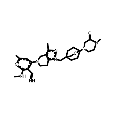 CNc1nc(C)cc(N2CCc3c(c(C)nn3CC34CCC(N5CCN(C)C(=O)C5)(CC3)CC4)C2)c1C=N